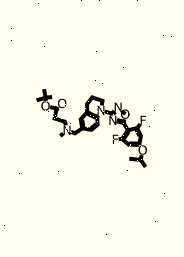 CC(C)Oc1cc(F)c(-c2nc(N3CCCc4cc(CN(C)CCC(=O)OC(C)(C)C)ccc43)no2)c(F)c1